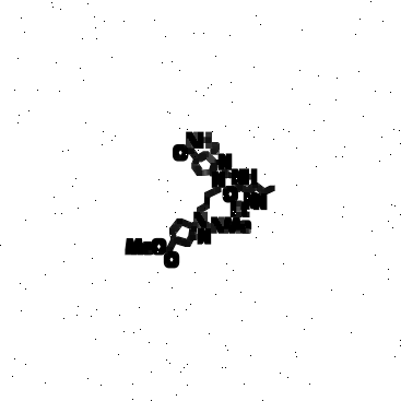 CCn1nc(C)cc1C(=O)Nc1nc2cc(C(N)=O)ccc2n1CCCCn1c(NC)nc2cc(C(=O)OC)ccc21